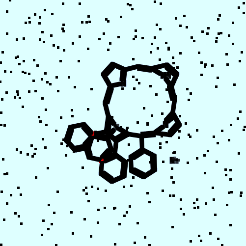 C1=Cc2cc3c(-c4ccccc4)c(-c4ccccc4)c(c(-c4ccccc4)c4nc(cc5ccc(cc1n2)[nH]5)C=C4)n3-c1ccccc1.[Rh]